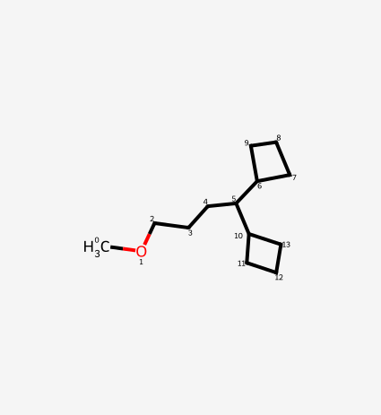 COCCCC(C1CCC1)C1CCC1